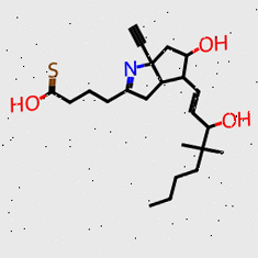 C#CC12CC(O)C(C=CC(O)C(C)(C)CCCC)C1CC(CCCC(O)=S)=N2